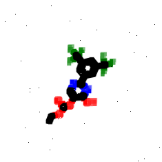 CCOC(=O)Oc1cnc(-c2cc(C(F)(F)F)cc(C(F)(F)F)c2)nc1O